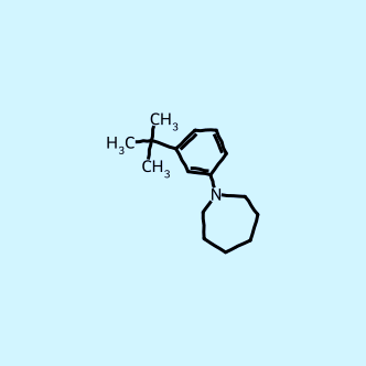 CC(C)(C)c1cccc(N2CCCCCC2)c1